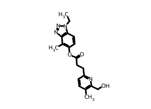 CCn1nnc2c(C)c(OC(=O)CCc3ccc(C)c(CO)n3)ccc21